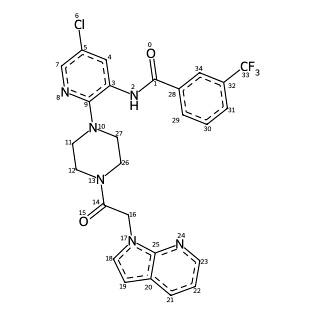 O=C(Nc1cc(Cl)cnc1N1CCN(C(=O)Cn2ccc3cccnc32)CC1)c1cccc(C(F)(F)F)c1